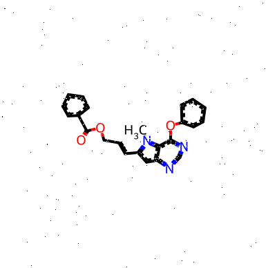 Cn1c(C=CCOC(=O)c2ccccc2)cc2ncnc(Oc3ccccc3)c21